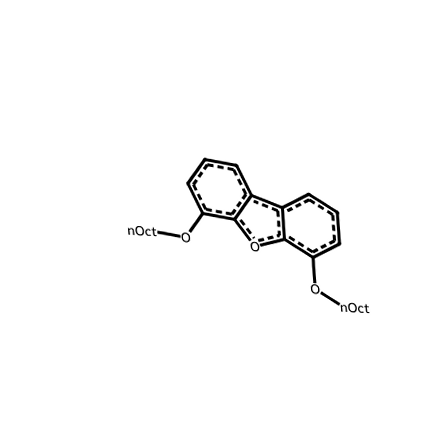 CCCCCCCCOc1cccc2c1oc1c(OCCCCCCCC)cccc12